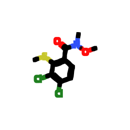 CON(C)C(=O)c1ccc(Cl)c(Cl)c1SC